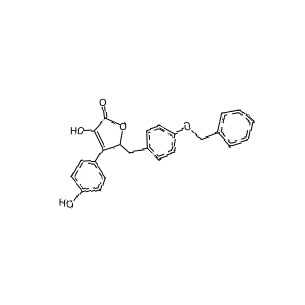 O=C1OC(Cc2ccc(OCc3ccccc3)cc2)C(c2ccc(O)cc2)=C1O